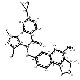 Cc1nn(C)cc1N(Cc1ccc2c3c(c(N)nc2c1)[C@H](C)OC3)C(=O)c1cnc(C2CC2)nc1